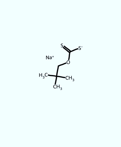 CC(C)(C)COC(=S)[S-].[Na+]